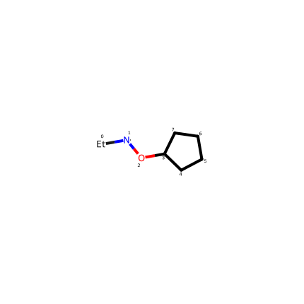 CC[N]OC1CCCC1